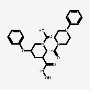 O=C(NO)C1CC(Oc2ccccc2)CN(C(=O)O)[C@@H]1C(=O)N1CCN(c2ccccc2)CC1